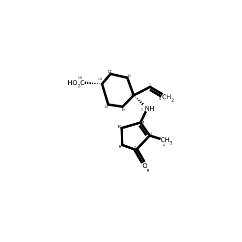 C=C[C@]1(NC2=C(C)C(=O)CC2)CC[C@@H](C(=O)O)CC1